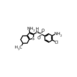 CC1CCc2c(sc(NS(=O)(=O)c3ccc(Cl)c(N)c3)c2N)C1